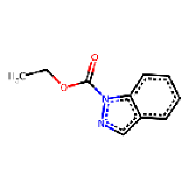 CCOC(=O)n1ncc2ccccc21